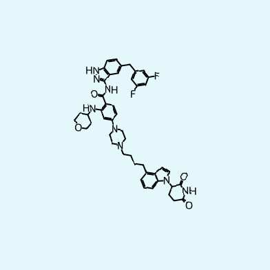 O=C1CCC(n2ccc3c(CCCCN4CCN(c5ccc(C(=O)Nc6n[nH]c7ccc(Cc8cc(F)cc(F)c8)cc67)c(NC6CCOCC6)c5)CC4)cccc32)C(=O)N1